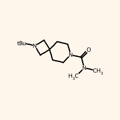 CN(C)C(=O)N1CCC2(CC1)CN(C(C)(C)C)C2